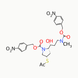 CC(=O)S[C@H]1C[C@@H]([C@H](O)CCN(C)C(=O)OCc2ccc([N+](=O)[O-])cc2)N(C(=O)OCc2ccc([N+](=O)[O-])cc2)C1